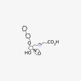 O=C(O)CC/C=C/CCC1C(OCc2ccc(-c3ccccc3)cc2)CC(O)C1N1CCOCC1